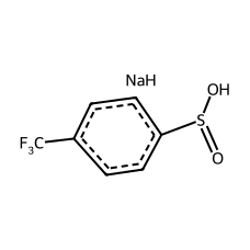 O=S(O)c1ccc(C(F)(F)F)cc1.[NaH]